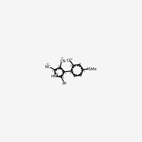 CSc1ccc(-c2c(Br)[nH]c(C#N)c2C#N)c(Cl)c1